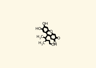 CC(CCO)C(C)C1=C2CC(=O)C(=O)C=C2Oc2cc(O)c(O)cc21